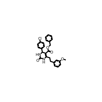 COc1cccc(CCC2=C(C(=O)OCc3ccccc3)C(c3ccc(Cl)cc3)NC(=O)N2)c1